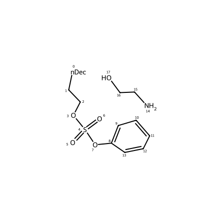 CCCCCCCCCCCCOS(=O)(=O)Oc1ccccc1.NCCO